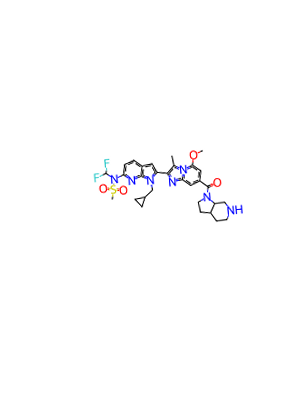 COc1cc(C(=O)N2CCC3CCNCC32)cc2nc(-c3cc4ccc(N(C(F)F)S(C)(=O)=O)nc4n3CC3CC3)c(C)n12